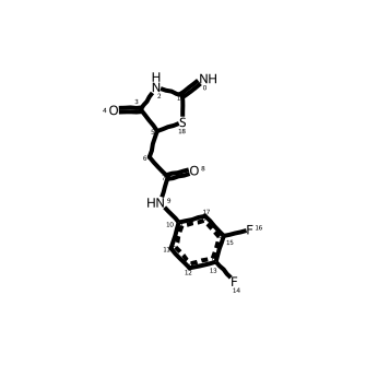 N=C1NC(=O)C(CC(=O)Nc2ccc(F)c(F)c2)S1